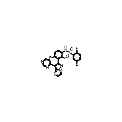 O=S(=O)(Nc1ccc(F)c(-c2nn3ccsc3c2-c2ccncn2)c1F)c1cc(F)ccc1F